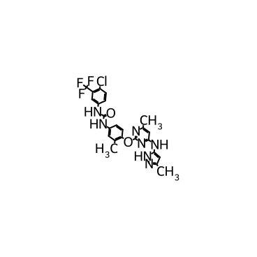 Cc1cc(Nc2cc(C)nc(Oc3ccc(NC(=O)Nc4ccc(Cl)c(C(F)(F)F)c4)cc3C)n2)[nH]n1